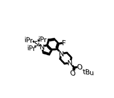 CC(C)[Si](C(C)C)(C(C)C)n1ccc2c(N3CCN(C(=O)OC(C)(C)C)CC3)c(F)ccc21